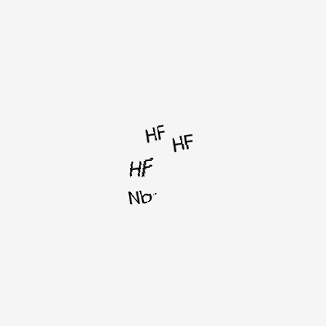 F.F.F.[Nb]